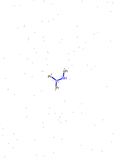 CCCNN(C(C)C)C(C)C